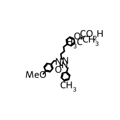 COc1ccc(Cn2c(CCCc3ccc(OC(C)(C)C(=O)O)cc3)nn(Cc3ccc(C)cc3)c2=O)cc1